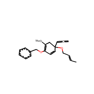 C=C=CC1(OCC=CC)C=CC(OCc2ccccc2)=C(OC)C1